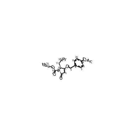 CC(=O)Oc1ccc(COC2=CC(=O)N(C(=O)OC(C)(C)C)[C@H]2CC(C)C)cc1